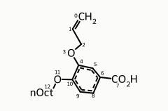 C=CCOc1cc(C(=O)O)ccc1OCCCCCCCC